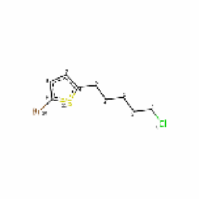 ClCCCCCc1ccc(Br)s1